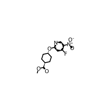 COC(=O)[C@H]1CC[C@H](Oc2cc(F)c([N+](=O)[O-])cn2)CC1